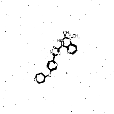 CC(O)N(C)c1cccnc1Nc1nc(-c2ccc(OC3CCOCC3)cn2)ns1